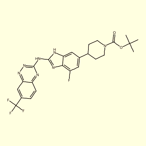 CC(C)(C)OC(=O)N1CCC(c2cc(F)c3nc(Nc4nnc5cc(C(F)(F)F)ccc5n4)[nH]c3c2)CC1